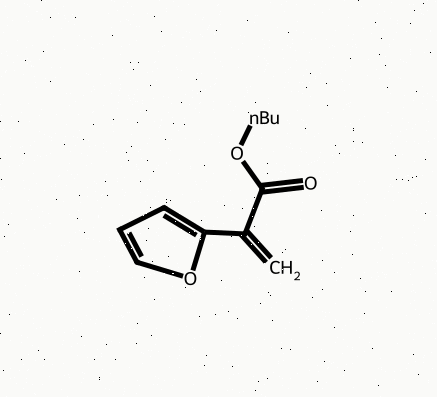 C=C(C(=O)OCCCC)c1ccco1